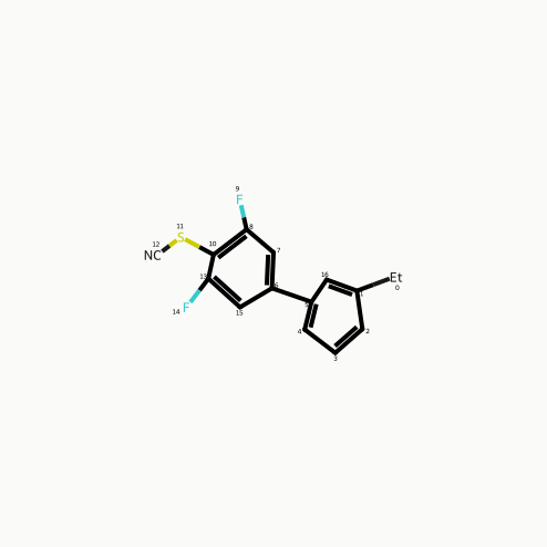 CCc1cccc(-c2cc(F)c(SC#N)c(F)c2)c1